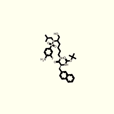 CC(C)CN(C(CO)CCCCNC(=O)[C@H](Cc1ccc2ccccc2c1)NC(=O)OC(C)(C)C)S(=O)(=O)c1ccc(N)c(F)c1